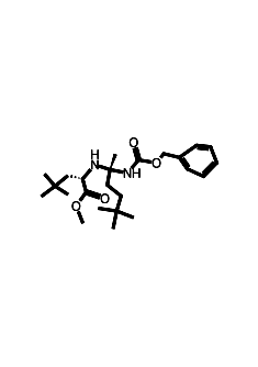 COC(=O)[C@H](CC(C)(C)C)N[C@@](C)(CCC(C)(C)C)NC(=O)OCc1ccccc1